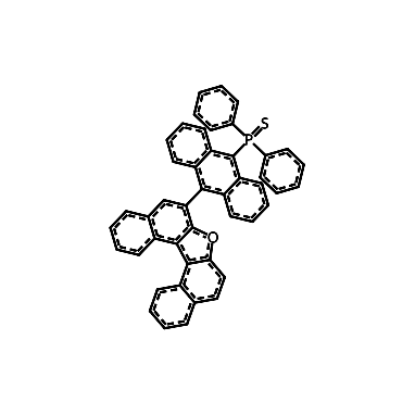 S=P(c1ccccc1)(c1ccccc1)c1c2ccccc2c(-c2cc3ccccc3c3c2oc2ccc4ccccc4c23)c2ccccc12